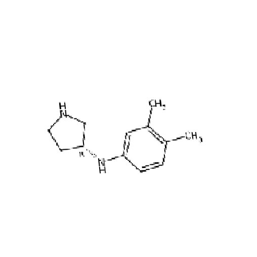 Cc1ccc(N[C@@H]2CCNC2)cc1C